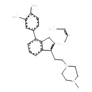 COc1ccc(-c2cccc3c2CC=C3CCN2CCN(C)CC2)cc1OC.O=C(O)/C=C\C(=O)O